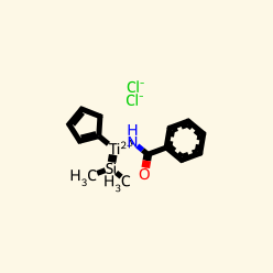 C[Si](C)=[Ti+2]([NH]C(=O)c1ccccc1)[C]1=CC=CC1.[Cl-].[Cl-]